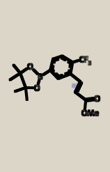 COC(=O)/C=C/c1cc(B2OC(C)(C)C(C)(C)O2)ccc1C(F)(F)F